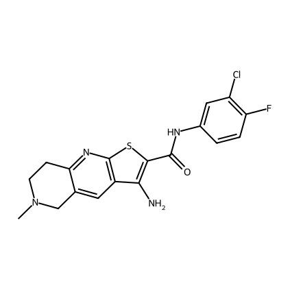 CN1CCc2nc3sc(C(=O)Nc4ccc(F)c(Cl)c4)c(N)c3cc2C1